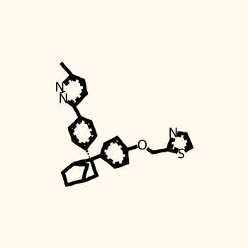 Cc1ccc(-c2ccc([C@]3(c4ccc(OCc5nccs5)cc4)CC4CCC3C4)cc2)nn1